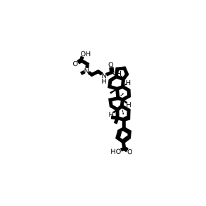 CN(CCNC(=O)[C@]12CCC[C@@H]1[C@H]1CC[C@@H]3[C@@]4(C)CC=C(c5ccc(C(=O)O)cc5)C(C)(C)[C@@H]4CC[C@@]3(C)[C@]1(C)CC2)CC(=O)O